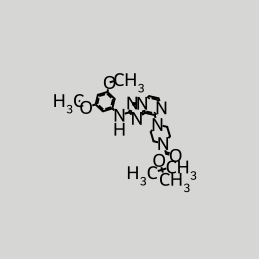 COc1cc(Nc2nc3c(N4CCN(C(=O)OC(C)(C)C)CC4)nccn3n2)cc(OC)c1